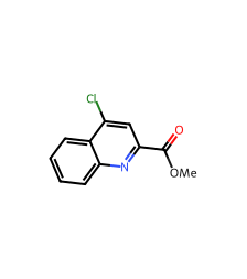 COC(=O)c1cc(Cl)c2ccccc2n1